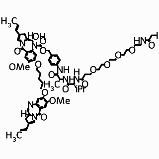 C/C=C/C1=CN2C(=O)c3cc(OC)c(OCCCCCOc4cc5c(cc4OC)C(=O)N4C=C(/C=C/C)C[C@H]4[C@H](O)N5C(=O)OCc4ccc(NC(=O)[C@H](C)NC(=O)[C@@H](NC(=O)CCOCCOCCOCCOCCNC(=O)CI)C(C)C)cc4)cc3N=C[C@@H]2C1